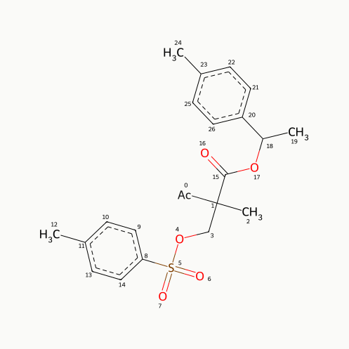 CC(=O)C(C)(COS(=O)(=O)c1ccc(C)cc1)C(=O)OC(C)c1ccc(C)cc1